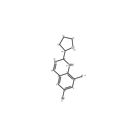 Fc1cc(Br)cc2c1NC(C1CCCO1)N=C2